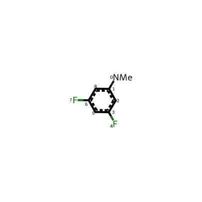 [CH2]Nc1cc(F)cc(F)c1